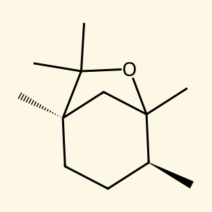 C[C@H]1CC[C@]2(C)CC1(C)OC2(C)C